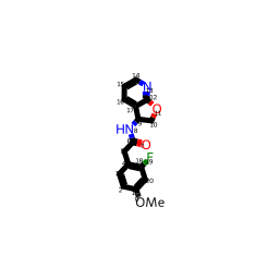 COc1ccc(CC(=O)NC2COc3ncccc32)c(F)c1